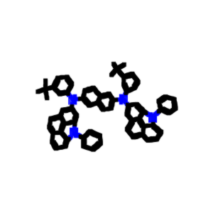 CC(C)(C)c1cccc(N(c2ccc3cc(N(c4cccc(C(C)(C)C)c4)c4cc5ccc6cccc7c6c5c(c4)n7-c4ccccc4)ccc3c2)c2cc3ccc4cccc5c4c3c(c2)n5-c2ccccc2)c1